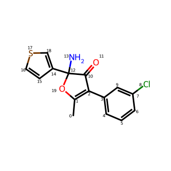 CC1=C(c2cccc(Cl)c2)C(=O)C(N)(c2ccsc2)O1